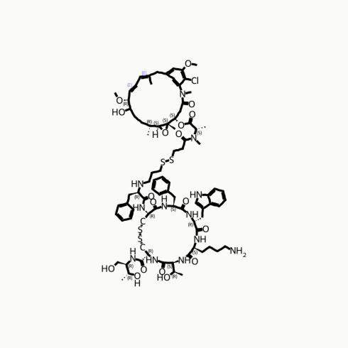 COc1cc2cc(c1Cl)N(C)C(=O)C[C@H](OC(=O)[C@H](C)N(C)C(=O)CCSSCCCN[C@H](Cc1ccccc1)C(=O)N[C@H]1CSSC[C@@H](C(=O)N[C@H](CO)[C@@H](C)O)NC(=O)[C@H]([C@@H](C)O)NC(=O)[C@H](CCCCN)NC(=O)[C@@H](Cc3c[nH]c4ccccc34)NC(=O)[C@H](Cc3ccccc3)NC1=O)[C@]1(C)O[C@H]1[C@H](C)CCC(O)[C@H](OC)/C=C/C=C(\C)C2